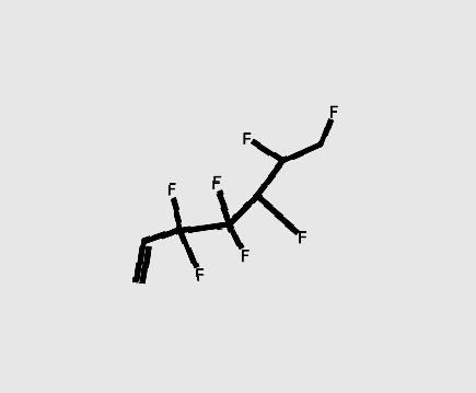 C=CC(F)(F)C(F)(F)C(F)C(F)CF